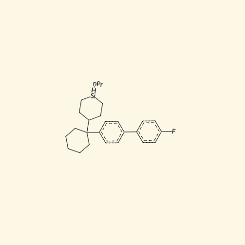 CCC[SiH]1CCC(C2(c3ccc(-c4ccc(F)cc4)cc3)CCCCC2)CC1